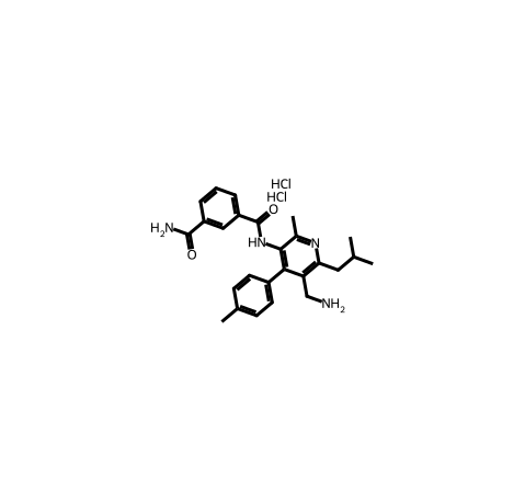 Cc1ccc(-c2c(CN)c(CC(C)C)nc(C)c2NC(=O)c2cccc(C(N)=O)c2)cc1.Cl.Cl